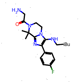 CCC(C)CNc1c(-c2ccc(F)cc2)nc2n1CCN(C(=O)CN)C2(C)C